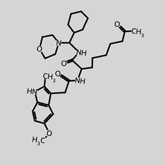 COc1ccc2[nH]c(C)c(CC(=O)NC(CCCCCC(C)=O)C(=O)NC(C3CCCCC3)N3CCOCC3)c2c1